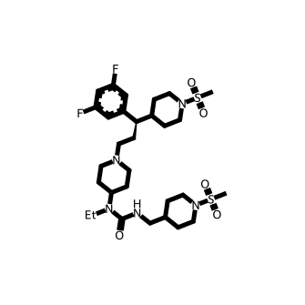 CCN(C(=O)NCC1CCN(S(C)(=O)=O)CC1)C1CCN(CC[C@@H](c2cc(F)cc(F)c2)C2CCN(S(C)(=O)=O)CC2)CC1